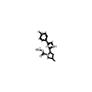 CC1CC(c2nc(-c3ccc(I)cc3)c[nH]2)N(C(=O)OC(C)(C)C)C1